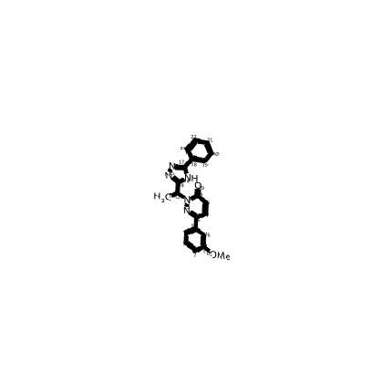 COc1cccc(-c2ccc(=O)n(C(C)c3nnc(-c4ccccc4)[nH]3)n2)c1